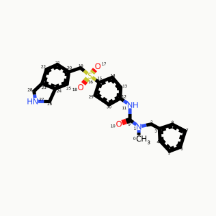 CN(Cc1ccccc1)C(=O)Nc1ccc(S(=O)(=O)Cc2ccc3c(c2)CNC3)cc1